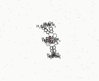 CC1=CC2=C(CCCCC2c2ccc3cc(O[Si](C)(C)C(C)(C)C)ccc3c2)[C]12[SiH](C)[C]1(C(C)=CC3=C1CCCCC3c1ccc3cc(O[Si](C)(C)C(C)(C)C)ccc3c1)[Zr]21([Cl])([Cl])[C]2(C(C)=CC3=C2CCCCC3c2ccc3cc(O[Si](C)(C)C(C)(C)C)ccc3c2)[SiH](C)[C]12C(C)=CC1=C2CCCCC1c1ccc2cc(O[Si](C)(C)C(C)(C)C)ccc2c1